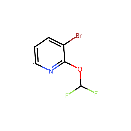 FC(F)Oc1n[c]ccc1Br